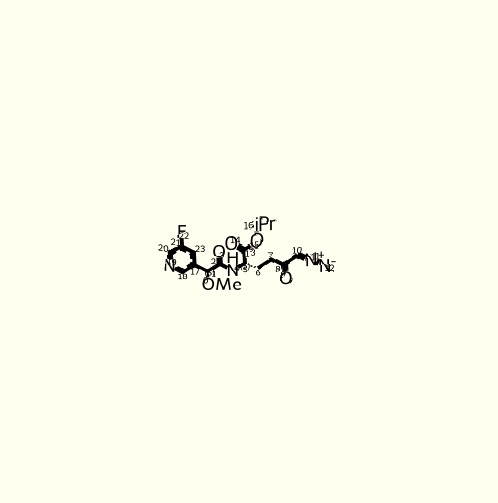 CO[C@H](C(=O)N[C@@H](CCC(=O)C=[N+]=[N-])C(=O)OC(C)C)c1cncc(F)c1